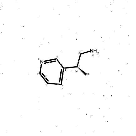 C[C@H](CN)c1cccnc1